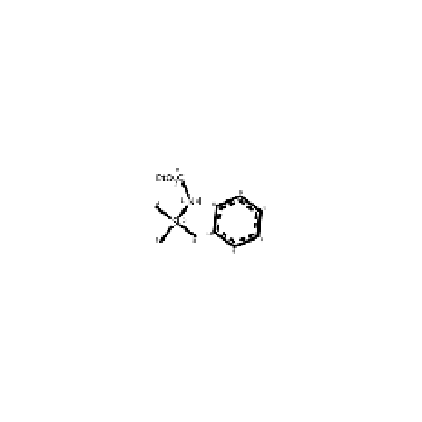 CCOC(=O)N[Si](C)(C)C.c1ccccc1